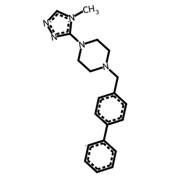 Cn1cnnc1N1CCN(Cc2ccc(-c3[c]cccc3)cc2)CC1